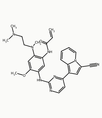 C=CC(=O)Nc1cc(Nc2nccc(-c3cc(C#N)n4ccccc34)n2)c(OC)cc1N(C)CCN(C)C